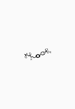 CC(=O)SCC(=O)NCCc1ccc(N2CCN(C(=O)O)CC2)cc1